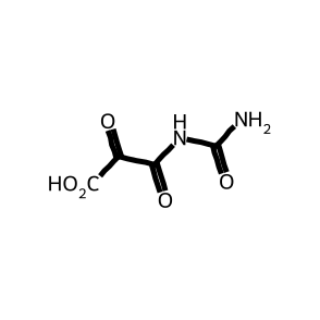 NC(=O)NC(=O)C(=O)C(=O)O